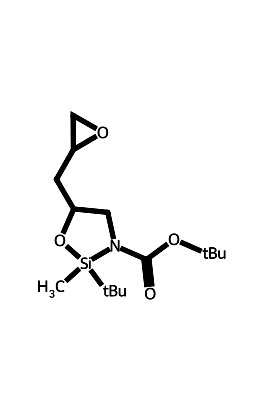 CC(C)(C)OC(=O)N1CC(CC2CO2)O[Si]1(C)C(C)(C)C